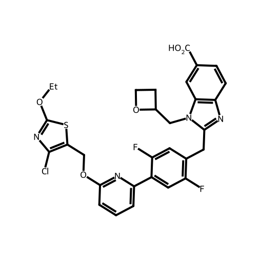 CCOc1nc(Cl)c(COc2cccc(-c3cc(F)c(Cc4nc5ccc(C(=O)O)cc5n4CC4CCO4)cc3F)n2)s1